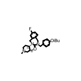 CC(C)COc1ccc(CN2Cc3ccc(F)cc3CN([C@H]3CCN(C)C[C@H]3F)C2=O)cc1